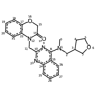 CN(CC1CCOC1)c1nc(CN2C(=O)COc3ccccc32)nc2ccccc12